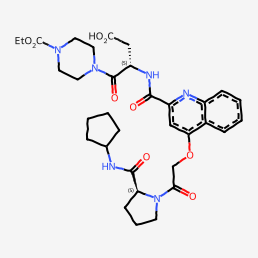 CCOC(=O)N1CCN(C(=O)[C@H](CC(=O)O)NC(=O)c2cc(OCC(=O)N3CCC[C@H]3C(=O)NC3CCCC3)c3ccccc3n2)CC1